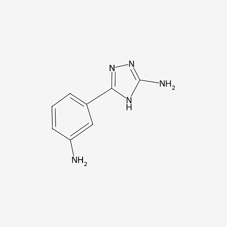 Nc1cccc(-c2nnc(N)[nH]2)c1